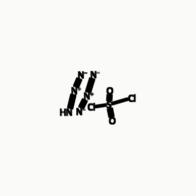 O=S(=O)(Cl)Cl.[N-]=[N+]=N.[N-]=[N+]=[N-]